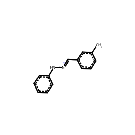 Cc1cccc(/C=N/Nc2ccccc2)c1